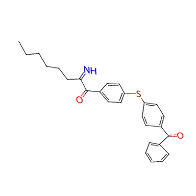 CCCCCCC(=N)C(=O)c1ccc(Sc2ccc(C(=O)c3ccccc3)cc2)cc1